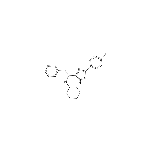 Fc1ccc(-c2c[nH]c([C@@H](Cc3ccccc3)NC3CCCCC3)n2)cc1